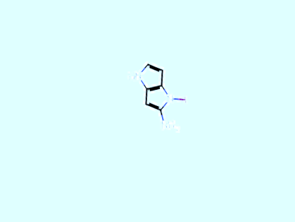 Nc1cc2[nH]ccc2n1I